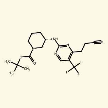 CC(C)(C)OC(=O)N1CCC[C@H](Nc2ncc(C(F)(F)F)c(CCC#N)n2)C1